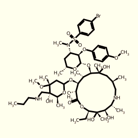 CCCNC[C@]1(O)[C@H](C)OC(O[C@H]2[C@H](C)[C@@H](O[C@@H]3O[C@H](C)C[C@H](N(C)S(=O)(=O)c4ccc(Br)cc4)[C@H]3Oc3ccc(OC)cc3)[C@](C)(O)C[C@@H](C)CN[C@H](C)[C@@H](O)[C@](C)(O)[C@@H](CC)OC(=O)[C@@H]2C)C[C@@]1(C)OC